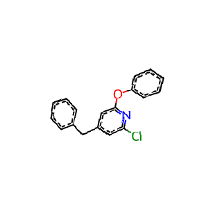 Clc1cc(Cc2ccccc2)cc(Oc2ccccc2)n1